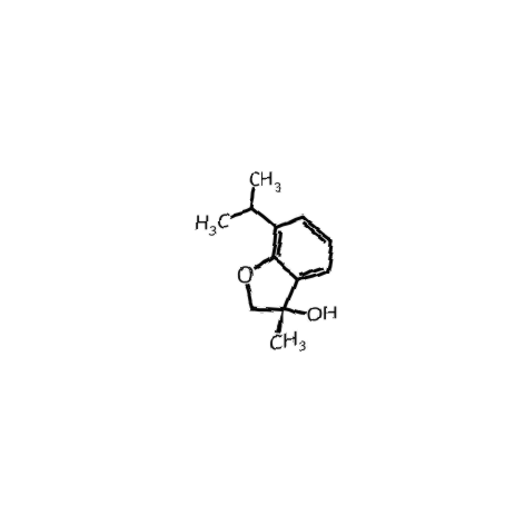 CC(C)c1cccc2c1OC[C@@]2(C)O